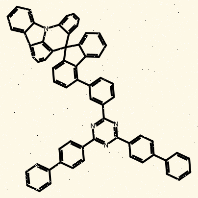 c1ccc(-c2ccc(-c3nc(-c4ccc(-c5ccccc5)cc4)nc(-c4cccc(-c5cccc6c5-c5ccccc5C65c6ccccc6-n6c7ccccc7c7cccc5c76)c4)n3)cc2)cc1